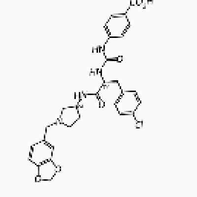 O=C(Nc1ccc(C(=O)O)cc1)N[C@@H](Cc1ccc(Cl)cc1)C(=O)N[C@H]1CCN(Cc2ccc3c(c2)OCO3)C1